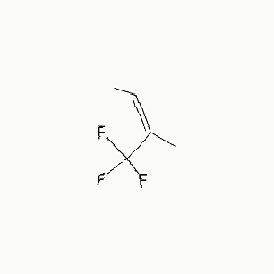 CC=C(C)C(F)(F)F